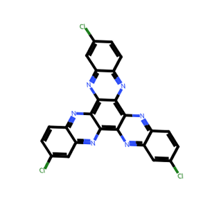 Clc1ccc2nc3c4nc5ccc(Cl)cc5nc4c4nc5cc(Cl)ccc5nc4c3nc2c1